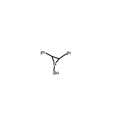 CCC(C)N1C(C(C)C)C1C(C)C